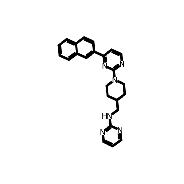 c1cnc(NCC2CCN(c3nccc(-c4ccc5ccccc5c4)n3)CC2)nc1